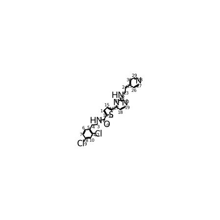 O=C(NCCc1ccc(Cl)cc1Cl)c1ccc(-c2ccnc(NCCc3ccncc3)n2)s1